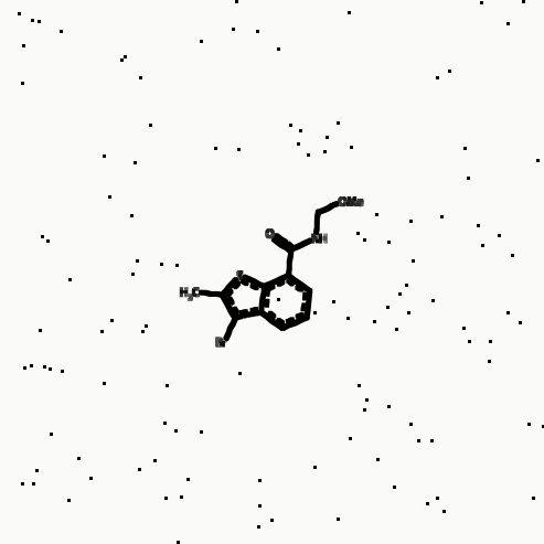 COCNC(=O)c1cccc2c(Br)c(C)sc12